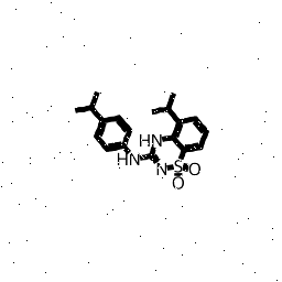 CC(C)c1ccc(NC2=NS(=O)(=O)c3cccc(C(C)C)c3N2)cc1